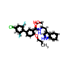 CCCOc1ccc(-c2c(F)cc(Cl)cc2F)cc1C(=O)N[C@H](CO)Cc1c[nH]c2ccccc12